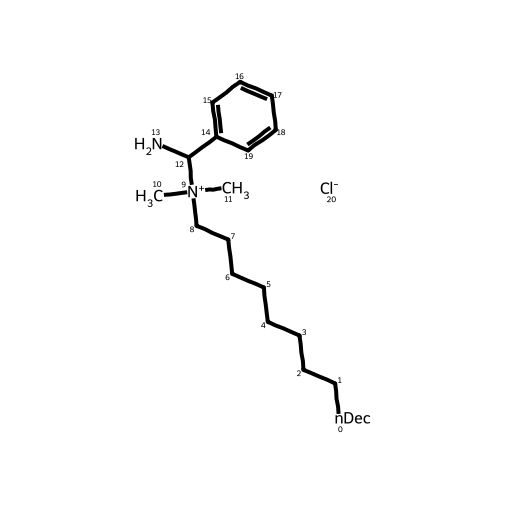 CCCCCCCCCCCCCCCCCC[N+](C)(C)C(N)c1ccccc1.[Cl-]